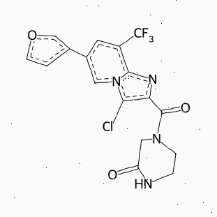 O=C1CN(C(=O)c2nc3c(C(F)(F)F)cc(-c4ccoc4)cn3c2Cl)CCN1